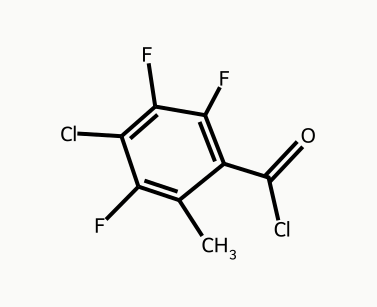 Cc1c(F)c(Cl)c(F)c(F)c1C(=O)Cl